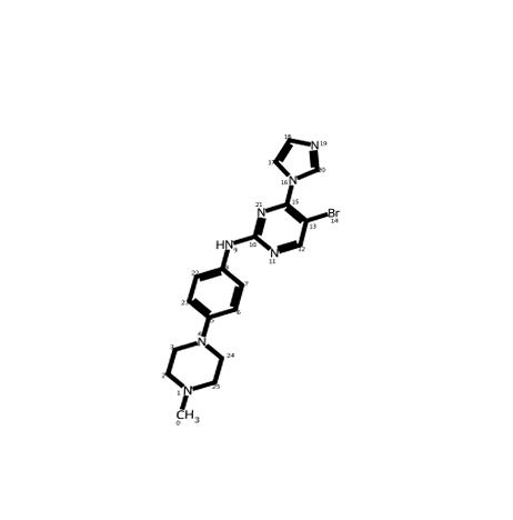 CN1CCN(c2ccc(Nc3ncc(Br)c(-n4ccnc4)n3)cc2)CC1